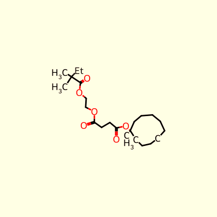 CCC(C)(C)C(=O)OCCOC(=O)CCC(=O)OC1(C)CCCCCCCCC1